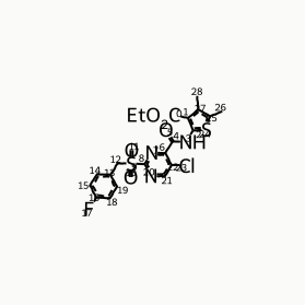 CCOC(=O)c1c(NC(=O)c2nc(S(=O)(=O)Cc3ccc(F)cc3)ncc2Cl)sc(C)c1C